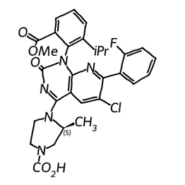 COC(=O)c1cccc(C(C)C)c1-n1c(=O)nc(N2CCN(C(=O)O)C[C@@H]2C)c2cc(Cl)c(-c3ccccc3F)nc21